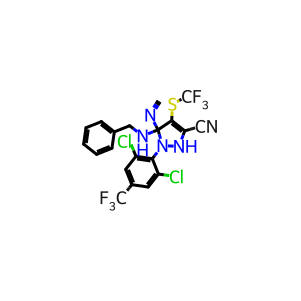 C=NC1(NCc2ccccc2)C(SC(F)(F)F)=C(C#N)NN1c1c(Cl)cc(C(F)(F)F)cc1Cl